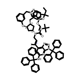 CCOB(OC(C)(C)CC)c1cnn(Cc2cccc(O[C@@H]3C[C@@H](N(C/C=C(\I)c4cc(NC(c5ccccc5)(c5ccccc5)c5ccccc5)nc5c4nnn5C(c4ccccc4)(c4ccccc4)c4ccccc4)C(=O)OC(C)(C)C)C[C@@H]3Cc3ccccc3)c2)c1